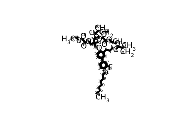 C=C(C)C(=O)OCCCc1cc(-c2ccc(OCCCCCCCC)c(F)c2)ccc1OCC(COC(=O)C(=C)C)(COC(=O)C(=O)OCC)COC(=O)C(=O)OCC